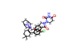 CC1(C)CCC(CN2C3CCC2CN(Cc2ccc4c(c2)CN(N2CCC(=O)NC2=O)C4=O)C3)=C(c2ccc(Cl)cc2)C1